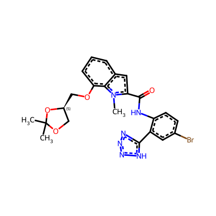 Cn1c(C(=O)Nc2ccc(Br)cc2-c2nnn[nH]2)cc2cccc(OC[C@H]3COC(C)(C)O3)c21